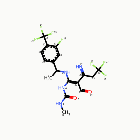 CNC(=O)N/C(NC(C)c1ccc(C(F)(F)F)c(F)c1)=C(\C=O)C(=N)CC(F)(F)F